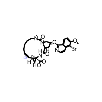 COc1ccc2c(O[C@@H]3C[C@H]4C(=O)N[C@]5(C(=O)O)C[C@H]5/C=C\CCCCN(C)C(=O)N4C3)nccc2c1Br